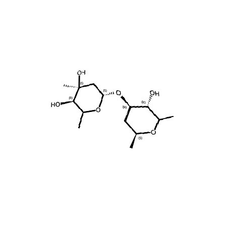 CC1O[C@@H](C)C[C@@H](O[C@H]2C[C@](C)(O)[C@H](O)C(C)O2)[C@@H]1O